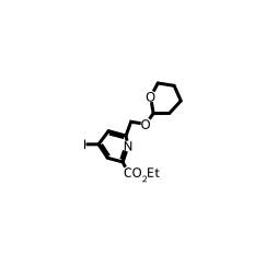 CCOC(=O)c1cc(I)cc(COC2CCCCO2)n1